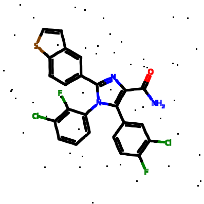 NC(=O)c1nc(-c2ccc3sccc3c2)n(-c2cccc(Cl)c2F)c1-c1ccc(F)c(Cl)c1